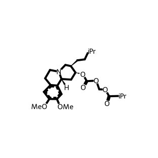 COc1cc2c(cc1OC)[C@H]1C[C@@H](OC(=O)OCOC(=O)C(C)C)[C@H](CCC(C)C)CN1CC2